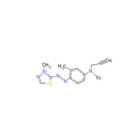 C#CCN(CC)c1ccc(/N=N/c2scn[n+]2C)c(C)c1